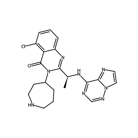 C[C@H](Nc1ncnn2ccnc12)c1nc2cccc(Cl)c2c(=O)n1C1CCCNCC1